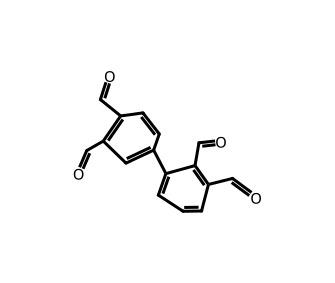 O=Cc1ccc(-c2cccc(C=O)c2C=O)cc1C=O